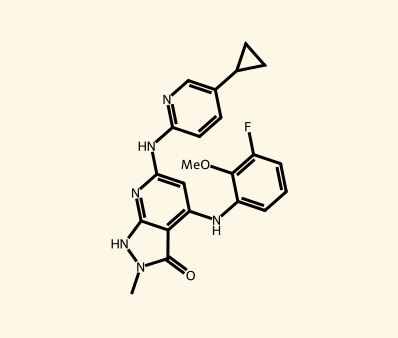 COc1c(F)cccc1Nc1cc(Nc2ccc(C3CC3)cn2)nc2[nH]n(C)c(=O)c12